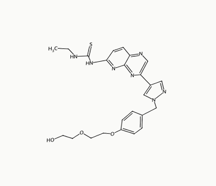 CCNC(=S)Nc1ccc2ncc(-c3cnn(Cc4ccc(OCCOCCO)cc4)c3)nc2n1